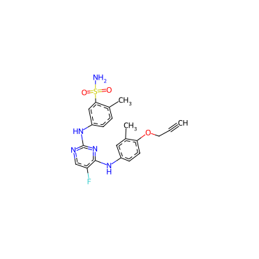 C#CCOc1ccc(Nc2nc(Nc3ccc(C)c(S(N)(=O)=O)c3)ncc2F)cc1C